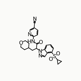 N#Cc1ccc(NC(=O)C(CC2CCOCC2)n2ncc3c(S(=O)(=O)C4CC4)cccc32)nc1